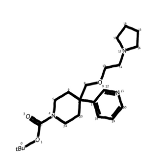 CC(C)(C)OC(=O)N1CCC(COCCN2CCCC2)(c2cccnc2)CC1